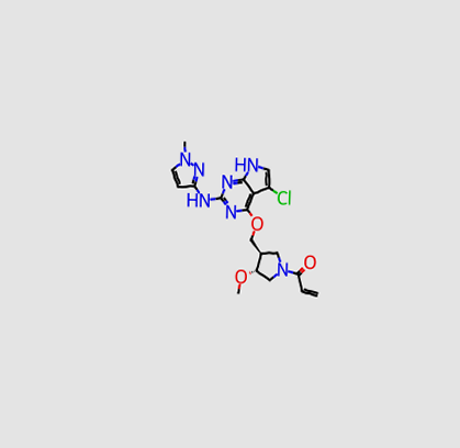 C=CC(=O)N1C[C@H](COc2nc(Nc3ccn(C)n3)nc3[nH]cc(Cl)c23)[C@@H](OC)C1